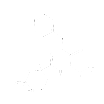 C[C@@H](O)[C@@H](C(=O)NCc1ccccc1)N(C)C(=O)C1(C)CCNC(=O)C1